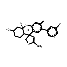 NC1=NC2(CO1)c1cc(-c3cncc(Cl)c3)c(F)cc1O[C@H]1CC(O)CC[C@@H]12